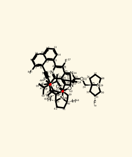 CC(C)[Si](C#Cc1c(F)ccc2cccc(-c3nc4c5c(nc(OC[C@@]67CCCN6C[C@H](F)C7)nc5c3F)N3C[C@H]5CC[C@@H]([C@H]3CC4(F)F)N5C(=O)OC(C)(C)C)c12)(C(C)C)C(C)C